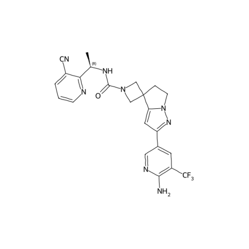 C[C@@H](NC(=O)N1CC2(CCn3nc(-c4cnc(N)c(C(F)(F)F)c4)cc32)C1)c1ncccc1C#N